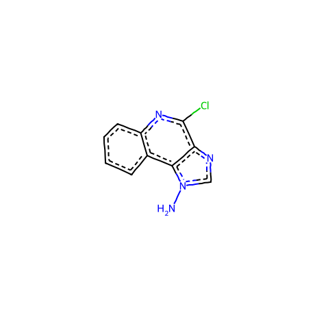 Nn1cnc2c(Cl)nc3ccccc3c21